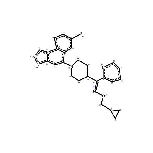 Brc1ccc2c(c1)c(N1CCC(/C(=N/OCC3CC3)c3ccccn3)CC1)cc1nncn12